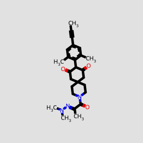 CC#Cc1cc(C)c(C2C(=O)CC3(CCN(C(=O)C(C)=NN(C)C)CC3)CC2=O)c(C)c1